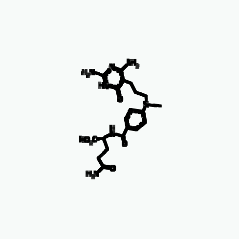 CN(CCCc1c(N)nc(N)[nH]c1=O)c1ccc(C(=O)N[C@@H](CCC(N)=O)C(=O)O)cc1